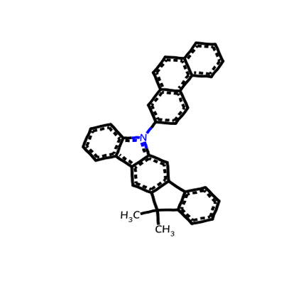 CC1(C)c2ccccc2-c2cc3c(cc21)c1ccccc1n3-c1ccc2c(ccc3ccccc32)c1